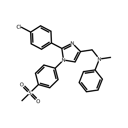 CN(Cc1cn(-c2ccc(S(C)(=O)=O)cc2)c(-c2ccc(Cl)cc2)n1)c1ccccc1